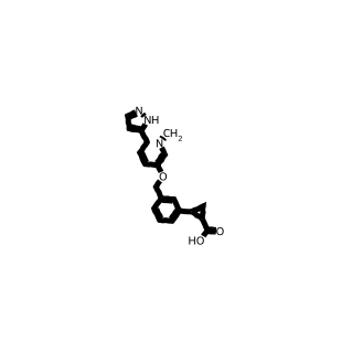 C=N/C=C(\C=C/Cc1ccn[nH]1)OCc1cccc(C2CC2C(=O)O)c1